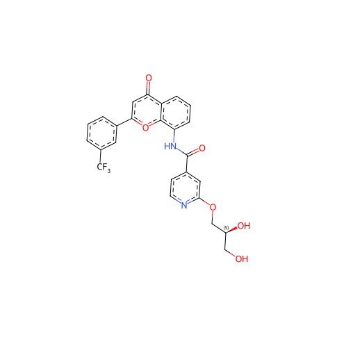 O=C(Nc1cccc2c(=O)cc(-c3cccc(C(F)(F)F)c3)oc12)c1ccnc(OC[C@@H](O)CO)c1